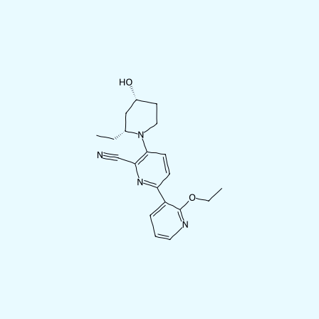 CCOc1ncccc1-c1ccc(N2CC[C@@H](O)C[C@H]2CC)c(C#N)n1